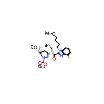 COCCCCn1c(C(=O)N(CC(C)C)[C@@H]2CN(C(=O)OC(C)(C)C)C[C@](C)(C(=O)O)C2)nc2c(F)cccc21